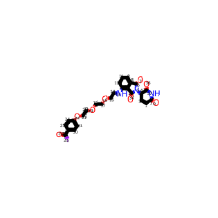 O=C1CCC(N2C(=O)c3cccc(NCCOCCOCCOc4ccc(C(=O)I)cc4)c3C2=O)C(=O)N1